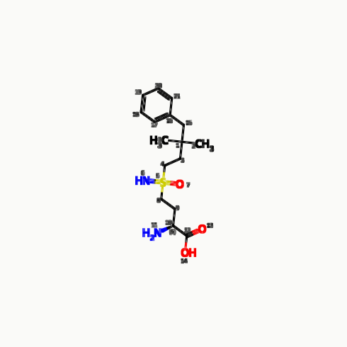 CC(C)(CCS(=N)(=O)CC[C@H](N)C(=O)O)Cc1ccccc1